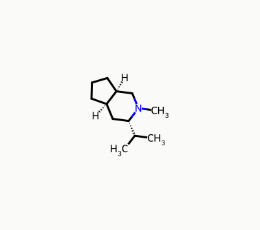 CC(C)[C@@H]1C[C@H]2CCC[C@H]2CN1C